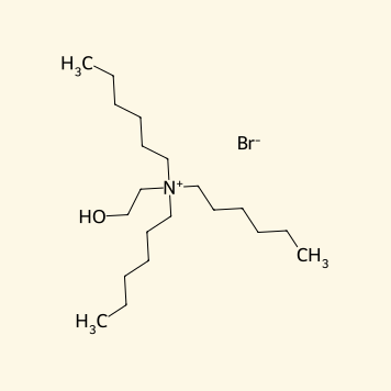 CCCCCC[N+](CCO)(CCCCCC)CCCCCC.[Br-]